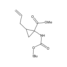 C=CCC1CC1(NC(=O)OC(C)(C)C)C(=O)OC